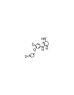 CNC1CCNC(Nc2ccc(OC)c(OC[C@@H]3CCN(C4CC4)C3)c2)=N1